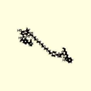 CCCCC(Cc1c[nH]c2ccccc12)NC(=O)c1cnc(N2CCN(CCOCCOCCOCCOCCOCC(=O)NC(C(=O)N3C[C@H](O)C[C@H]3C(=O)NC(C)c3ccc(-c4scnc4C)cc3)C(C)(C)C)CC2)s1